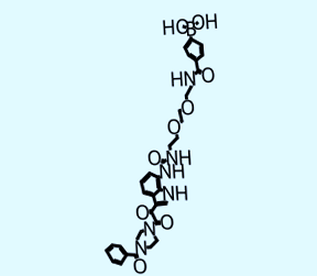 O=C(NCCOCCOCCNC(=O)c1ccc(B(O)O)cc1)Nc1cccc2c(C(=O)C(=O)N3CCN(C(=O)c4ccccc4)CC3)c[nH]c12